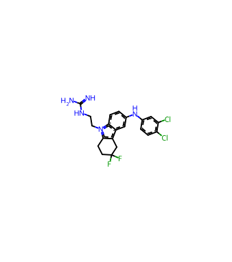 N=C(N)NCCn1c2c(c3cc(Nc4ccc(Cl)c(Cl)c4)ccc31)CC(F)(F)CC2